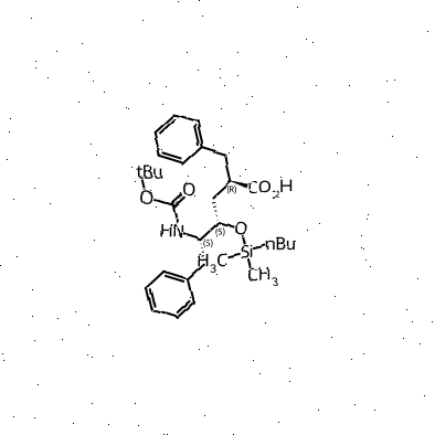 CCCC[Si](C)(C)O[C@@H](C[C@@H](Cc1ccccc1)C(=O)O)[C@H](Cc1ccccc1)NC(=O)OC(C)(C)C